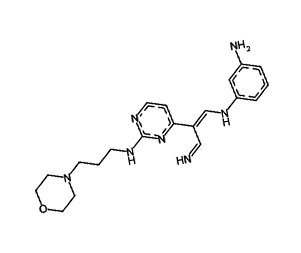 N=C/C(=C\Nc1cccc(N)c1)c1ccnc(NCCCN2CCOCC2)n1